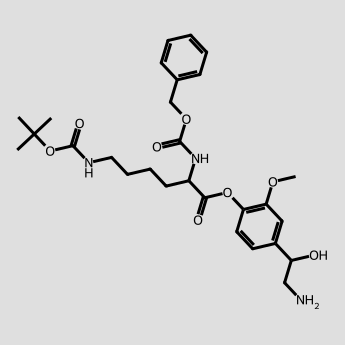 COc1cc(C(O)CN)ccc1OC(=O)C(CCCCNC(=O)OC(C)(C)C)NC(=O)OCc1ccccc1